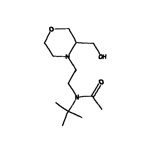 CC(=O)N(CCN1CCOCC1CO)C(C)(C)C